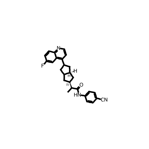 CC(C(=O)Nc1ccc(C#N)cc1)[C@H]1CC2CC(c3ccnc4ccc(F)cc34)C[C@H]2C1